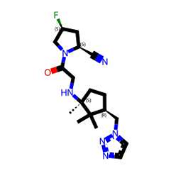 CC1(C)[C@H](Cn2ccnn2)CC[C@]1(C)NCC(=O)N1C[C@@H](F)C[C@H]1C#N